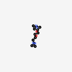 c1cc(-c2ccc3oc4c(-c5cccc6c5oc5ccc(-c7ccccc7-c7cnc8c9ccccc9c9ccccc9c8n7)cc56)cccc4c3c2)cc(-c2cnc3c4ccccc4c4ccccc4c3n2)c1